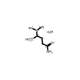 CC(C)N(C(C)C)C(CCC(N)=O)C(=O)O.[LiH]